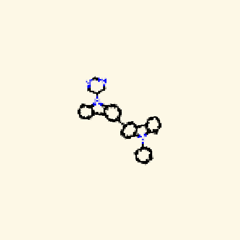 C1=NC=NCC1n1c2ccccc2c2cc(-c3ccc4c(c3)c3ccccc3n4-c3ccccc3)ccc21